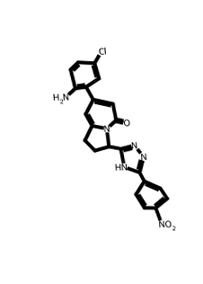 Nc1ccc(Cl)cc1-c1cc2n(c(=O)c1)C(c1nnc(-c3ccc([N+](=O)[O-])cc3)[nH]1)CC2